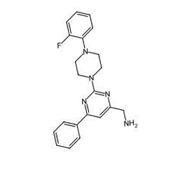 NCc1cc(-c2ccccc2)nc(N2CCN(c3ccccc3F)CC2)n1